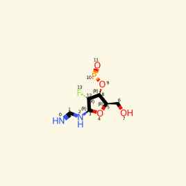 N=CN[C@@H]1O[C@H](CO)[C@@H](OP=O)[C@H]1F